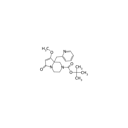 COC1=CC(=O)N2CCN(C(=O)OC(C)(C)C)CC12Cc1ccccn1